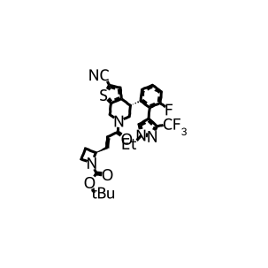 CCn1cc(-c2c(F)cccc2[C@@H]2CN(C(=O)/C=C/[C@@H]3CCN3C(=O)OC(C)(C)C)Cc3sc(C#N)cc32)c(C(F)(F)F)n1